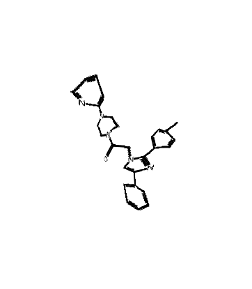 Cc1ccc(-c2nc(-c3ccccc3)cn2CC(=O)N2CCN(c3ccccn3)CC2)cc1